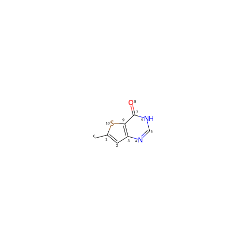 Cc1cc2nc[nH]c(=O)c2s1